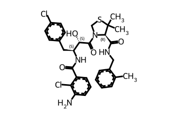 Cc1ccccc1CNC(=O)[C@H]1N(C(=O)[C@@H](O)[C@H](Cc2ccc(Cl)cc2)NC(=O)c2cccc(N)c2Cl)CSC1(C)C